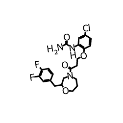 NC(=O)Nc1cc(Cl)ccc1OCCC(=O)N1CCCOC(Cc2ccc(F)c(F)c2)C1